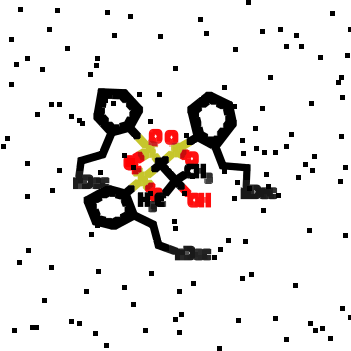 CCCCCCCCCCCCc1ccccc1S(=O)(=O)C(C(C)(C)O)(S(=O)(=O)c1ccccc1CCCCCCCCCCCC)S(=O)(=O)c1ccccc1CCCCCCCCCCCC